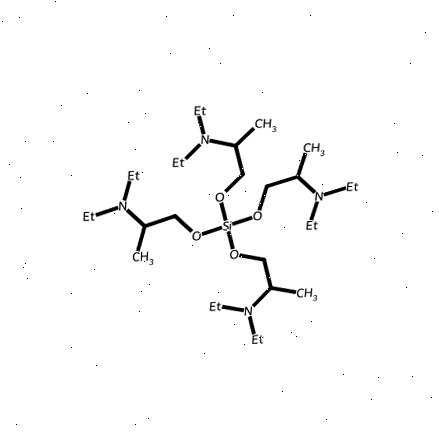 CCN(CC)C(C)CO[Si](OCC(C)N(CC)CC)(OCC(C)N(CC)CC)OCC(C)N(CC)CC